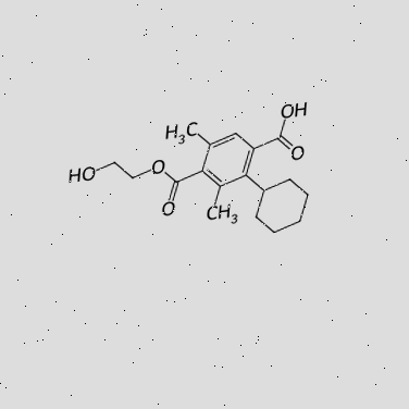 Cc1cc(C(=O)O)c(C2CCCCC2)c(C)c1C(=O)OCCO